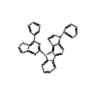 c1ccc(-c2nc(-n3c4ccccc4c4ccc5c(ccn5-c5ccccc5)c43)nc3ccoc23)cc1